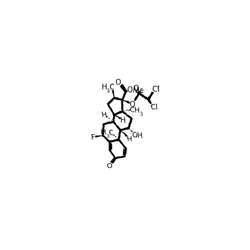 COC(=O)[C@@]1(OC(=O)C(Cl)Cl)[C@H](C)C[C@H]2[C@@H]3C[C@H](F)C4=CC(=O)C=C[C@]4(C)[C@H]3[C@@H](O)C[C@@]21C